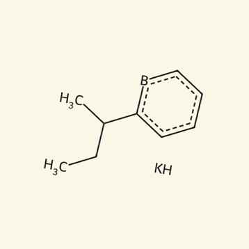 CCC(C)c1bcccc1.[KH]